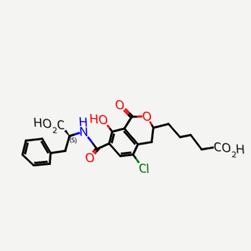 O=C(O)CCCCC1Cc2c(Cl)cc(C(=O)N[C@@H](Cc3ccccc3)C(=O)O)c(O)c2C(=O)O1